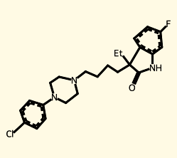 CCC1(CCCCN2CCN(c3ccc(Cl)cc3)CC2)C(=O)Nc2cc(F)ccc21